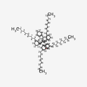 CCCCCCCCCCc1cccc(P(c2cccc(CCCCCCCCCC)c2)N(C2Cc3ccccc3C2)P(c2cccc(CCCCCCCCCC)c2)c2cccc(CCCCCCCCCC)c2)c1